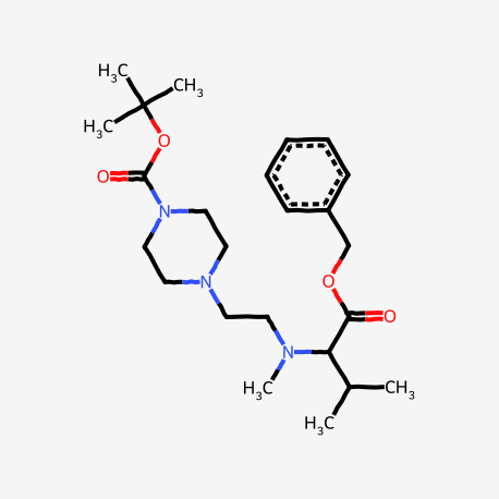 CC(C)C(C(=O)OCc1ccccc1)N(C)CCN1CCN(C(=O)OC(C)(C)C)CC1